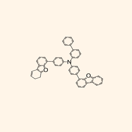 C1=Cc2c(oc3c(-c4ccc(N(c5ccc(-c6cccc7c6oc6ccccc67)cc5)c5cccc(-c6ccccc6)c5)cc4)cccc23)CC1